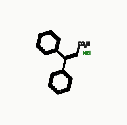 Cl.O=C(O)C=C(c1ccccc1)c1ccccc1